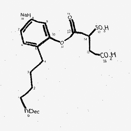 CCCCCCCCCCCCCCc1ccccc1OC(=O)C(CC(=O)O)S(=O)(=O)O.[NaH]